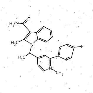 CC(=O)c1c(C)n(C(C)c2cc[n+](C)c(-c3ccc(F)cc3)c2)c2ccccc12